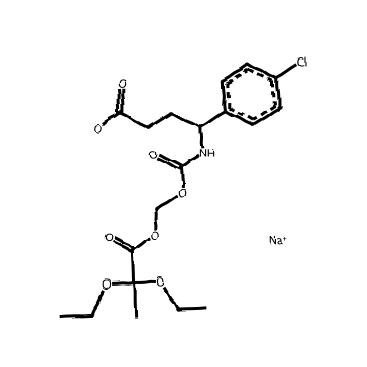 CCOC(C)(OCC)C(=O)OCOC(=O)NC(CCC(=O)[O-])c1ccc(Cl)cc1.[Na+]